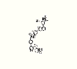 Cc1cc(-c2cc3cccc(-c4cc(C(C)C)c5c(c4)n(C)c(=O)n5C)c3cn2)cnc1C(=O)NCc1ccc(-c2ccnc(C3CCC(=O)NC3=O)c2F)cc1